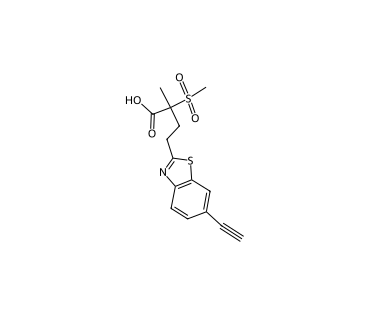 C#Cc1ccc2nc(CCC(C)(C(=O)O)S(C)(=O)=O)sc2c1